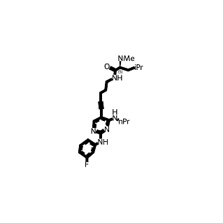 CCCNc1nc(Nc2cccc(F)c2)ncc1C#CCCCNC(=O)[C@H](CC(C)C)NC